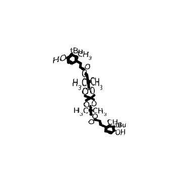 Cc1c(CCC(=O)OCC(C)(C)C2OCC3(CO2)COC(C(C)(C)COC(=O)CCc2ccc(O)c(C(C)(C)C)c2C)OC3)ccc(O)c1C(C)(C)C